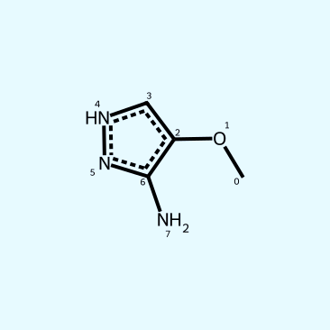 COc1c[nH]nc1N